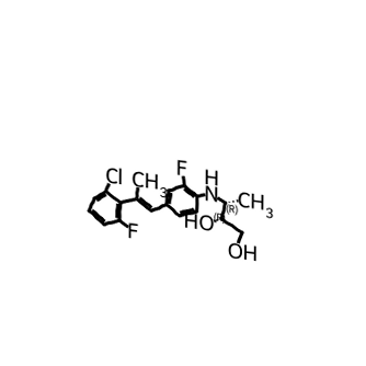 CC(=Cc1ccc(N[C@H](C)[C@@H](O)CO)c(F)c1)c1c(F)cccc1Cl